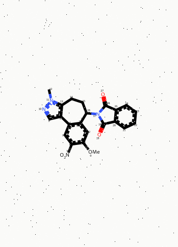 COc1cc2c(cc1[N+](=O)[O-])-c1cnn(C)c1CCC2N1C(=O)c2ccccc2C1=O